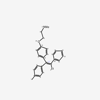 CC/C(=C(\c1ccc(C)cc1)c1ccc(OCCNC)cc1)c1ccccc1